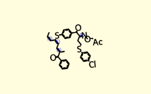 C\C=C/C(=C\C=C(/C)C(=O)c1ccccc1)Sc1ccc(C(=O)/C(CCSc2ccc(Cl)cc2)=N/OCC(C)=O)cc1